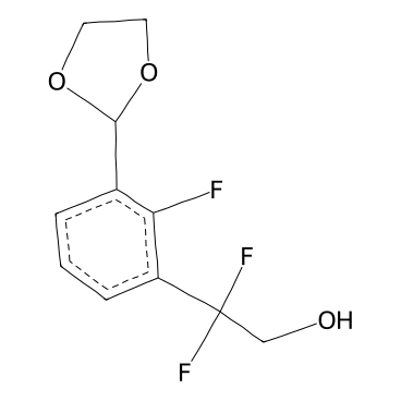 OCC(F)(F)c1cccc(C2OCCO2)c1F